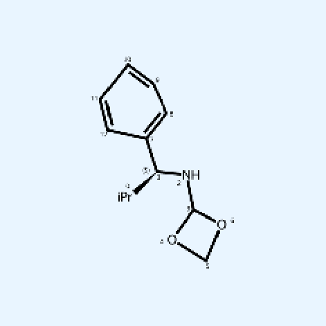 CC(C)[C@H](NC1OCO1)c1ccccc1